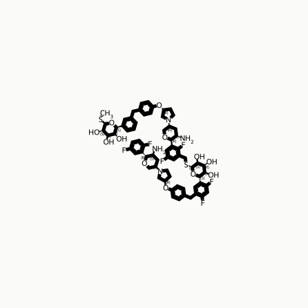 CS[C@H]1O[C@@H](c2cccc(Cc3ccc(O[C@@H]4CCN([C@H]5CO[C@H](c6cc(F)cc(CS[C@H]7O[C@@H](c8cc(Cc9ccc(O[C@@H]%10CCN([C@H]%11CO[C@H](c%12cc(F)ccc%12F)[C@@H](N)C%11)C%10)cc9)c(F)cc8F)[C@H](O)[C@@H](O)[C@@H]7O)c6F)[C@@H](N)C5)C4)cc3)c2)[C@H](O)[C@@H](O)[C@@H]1O